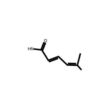 CC(C)=CC=CC([NH])=O